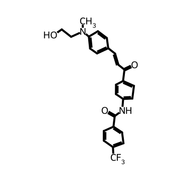 CN(CCO)c1ccc(/C=C/C(=O)c2ccc(NC(=O)c3ccc(C(F)(F)F)cc3)cc2)cc1